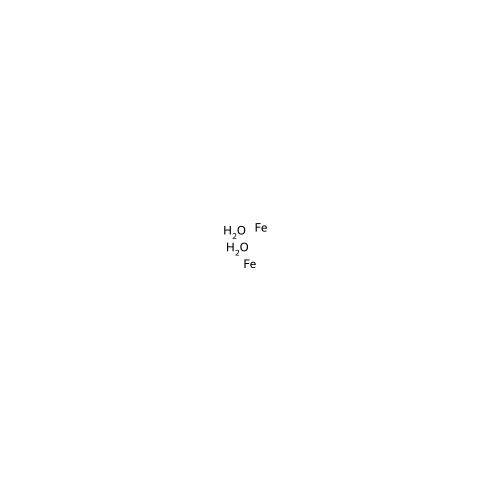 O.O.[Fe].[Fe]